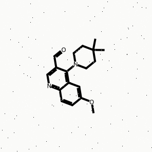 COc1ccc2ncc(C=O)c(N3CCC(C)(C)CC3)c2c1